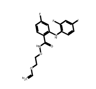 C=COCCONC(=O)c1ccc(F)cc1Nc1ccc(I)cc1F